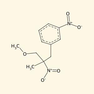 COCC(C)(Cc1cccc([N+](=O)[O-])c1)[N+](=O)[O-]